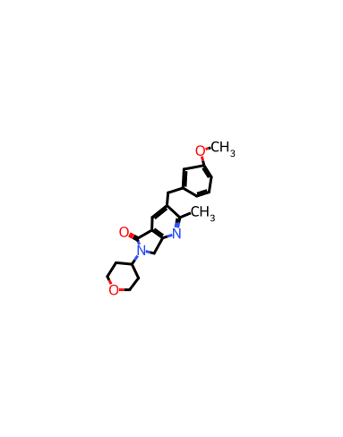 COc1cccc(Cc2cc3c(nc2C)CN(C2CCOCC2)C3=O)c1